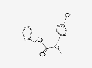 COc1ccc(C2C(C)C2C(=O)OCc2ccccc2)cc1